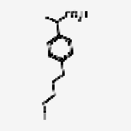 CC(C(=O)O)c1ccc(CCCCI)cc1